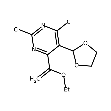 C=C(OCC)c1nc(Cl)nc(Cl)c1C1OCCO1